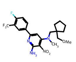 COCC1(CN(C)c2cc(-c3ccc(F)c(C(F)(F)F)c3)nc(N)c2[N+](=O)[O-])CCCC1